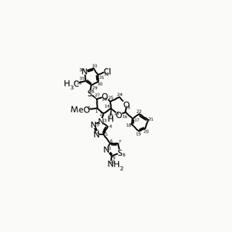 COC1C(n2cc(-c3csc(N)n3)nn2)[C@H]2OC(c3ccccc3)OCC2O[C@@H]1Sc1cc(Cl)cnc1C